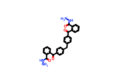 NNC(=O)c1ccccc1C(=O)c1ccc(Cc2ccc(C(=O)c3ccccc3C(=O)NN)cc2)cc1